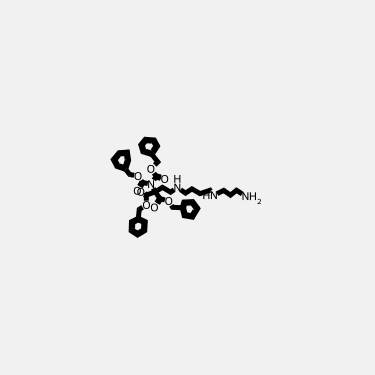 NCCCNCCCCNCCC(C(=O)OCc1ccccc1)(C(=O)OCc1ccccc1)N(C(=O)OCc1ccccc1)C(=O)OCc1ccccc1